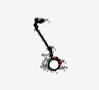 CO[C@H]1C[C@@H]2CC[C@@H](C)[C@@](O)(O2)C(=O)C(=O)N2CCCC[C@H]2C(=O)O[C@H]([C@H](N)C[C@@H]2CC[C@@H](OC(=O)N3CCC(N)(C(=O)NCCOCCOCCOCCOCCOCCOCCC(=O)N4CCc5cc(Cn6nc(-c7ccc8oc(N)nc8c7)c7c(N)ncnc76)ccc5C4)CC3)[C@H](OC)C2)C[C@@H](O)[C@H](C)/C=C(\C)[C@@H](O)[C@@H](OC)C(=O)[C@H](C)C[C@H](C)/C=C/C=C/C=C/1C